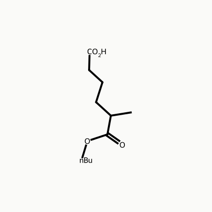 CCCCOC(=O)C(C)CCCC(=O)O